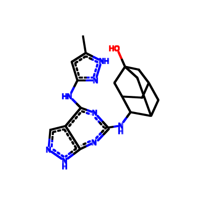 Cc1cc(Nc2nc(NC3C4CC5CC3CC(O)(C5)C4)nc3[nH]ncc23)n[nH]1